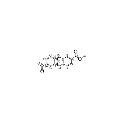 COC(=O)c1ccc2c(c1)C1CCC2c2cc(C(C)=O)ccc21